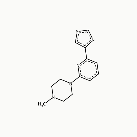 CN1CCN(c2cccc(-c3cs[c]n3)n2)CC1